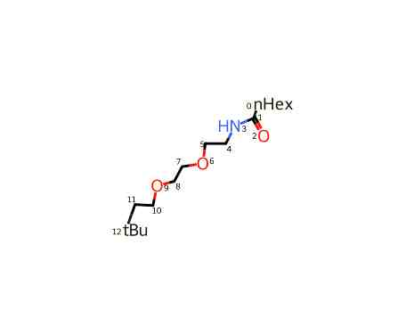 CCCCCCC(=O)NCCOCCOCCC(C)(C)C